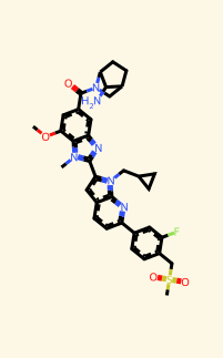 COc1cc(C(=O)N2CC3CCC2C3N)cc2nc(-c3cc4ccc(-c5ccc(CS(C)(=O)=O)c(F)c5)nc4n3CC3CC3)n(C)c12